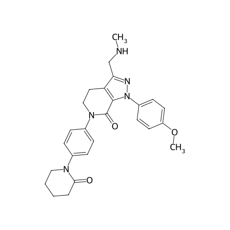 CNCc1nn(-c2ccc(OC)cc2)c2c1CCN(c1ccc(N3CCCCC3=O)cc1)C2=O